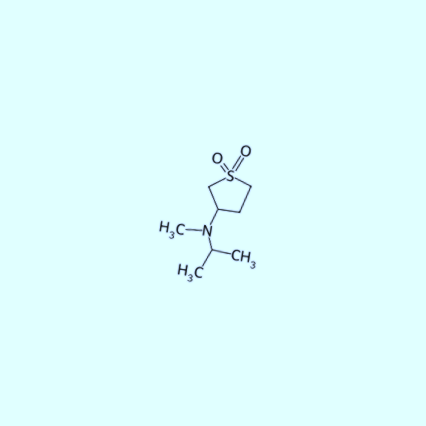 CC(C)N(C)C1CCS(=O)(=O)C1